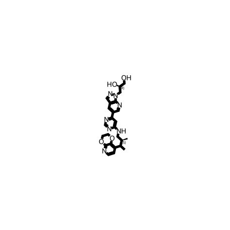 CC(c1ccnc2c1OCCO2)[C@H](C)CNc1cc(-c2cnc3c(cnn3C[C@@H](O)CO)c2)ncn1